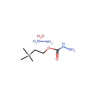 C[Si](C)(C)CCOC(=O)NN.NN.O